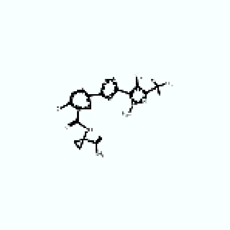 Cn1nc(C(F)(F)C(F)(F)F)c(C(F)(F)F)c1-c1cc(-c2ccc(Cl)c(C(=O)NC3(C(N)=S)CC3)c2)on1